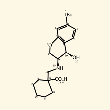 CC(C)(C)c1ccc2c(c1)OC[C@H](NCC1(C(=O)O)CCCCC1)[C@@H]2O